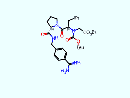 CCOC(=O)CN(C(=O)OC(C)(C)C)[C@H](CC(C)C)C(=O)N1CCC[C@H]1C(=O)NCc1ccc(C(=N)N)cc1